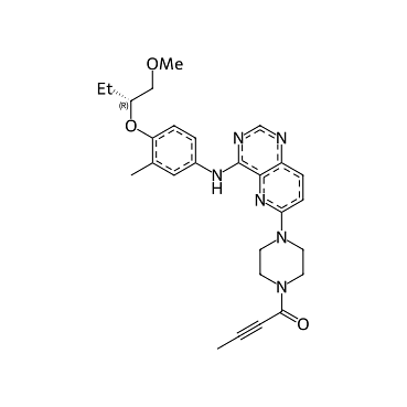 CC#CC(=O)N1CCN(c2ccc3ncnc(Nc4ccc(O[C@H](CC)COC)c(C)c4)c3n2)CC1